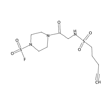 C#CCCCS(=O)(=O)NCC(=O)N1CCN(S(=O)(=O)F)CC1